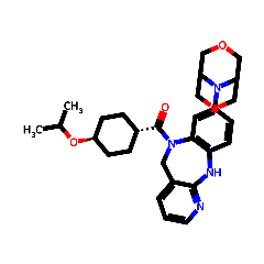 CC(C)O[C@H]1CC[C@H](C(=O)N2Cc3cccnc3Nc3ccc(N4C5COCC4COC5)cc32)CC1